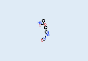 O=c1cc(Oc2ccc(-c3ccc(NCCN4CCOCC4)nc3)cc2)c2ccccc2[nH]1